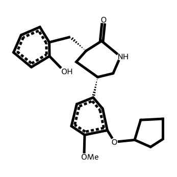 COc1ccc([C@H]2CNC(=O)[C@@H](Cc3ccccc3O)C2)cc1OC1CCCC1